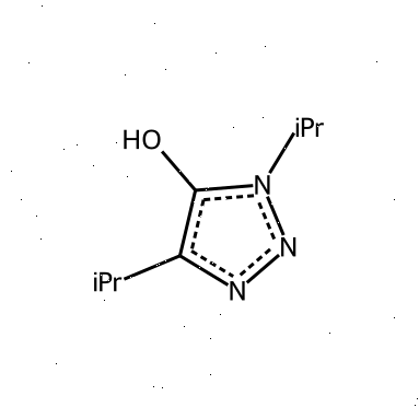 CC(C)c1nnn(C(C)C)c1O